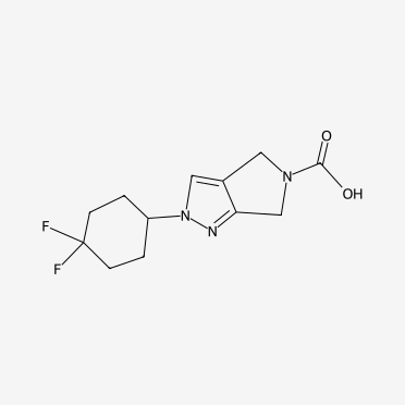 O=C(O)N1Cc2cn(C3CCC(F)(F)CC3)nc2C1